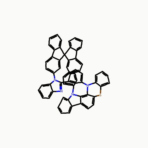 c1ccc(-n2c3ccccc3c3ccc4c(c32)N(c2cccc(-c3nc5ccccc5n3-c3ccc5c(c3)C3(c6ccccc6-c6ccccc63)c3ccccc3-5)c2)c2ccccc2S4)cc1